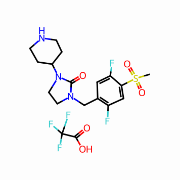 CS(=O)(=O)c1cc(F)c(CN2CCN(C3CCNCC3)C2=O)cc1F.O=C(O)C(F)(F)F